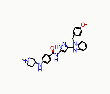 COc1ccc(Cn2c(-c3cc(NC(=O)c4ccc(NC5CCN(C)CC5)cc4)[nH]n3)nc3ccccc32)cc1